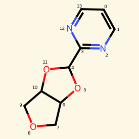 c1cnc(C2OC3COCC3O2)nc1